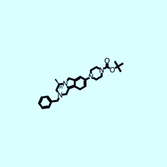 C[C@@H]1CN(Cc2ccccc2)CC2=C3CC=C(N4CCN(C(=O)OC(C)(C)C)CC4)C=C3CN21